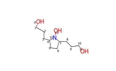 OCCCC1CCC(CCCO)N1O